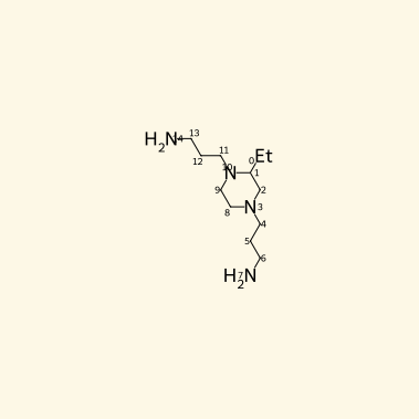 CCC1CN(CCCN)CCN1CCCN